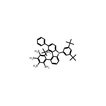 Bc1c(B)c(B)c(-c2cccc3c2c2c(C(C)(C)C)c(-c4ccccc4)ccc2n3-c2cc(C(C)(C)C)cc(C(C)(C)C)c2)c(B)c1B